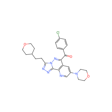 O=C(c1ccc(Cl)cc1)c1nn2c(CCC3CCOCC3)nnc2c2ncc(N3CCOCC3)cc12